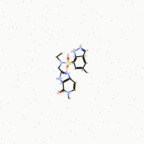 CCN(Cc1nc2ccn(C)c(=O)c2[nH]1)S(=O)(=O)c1cc(C)cc2cn[nH]c12